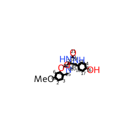 COc1ccc2c(c1)OCN(C[C@@]1(c3ccc(O)cc3)NC(=O)NC1=O)C2